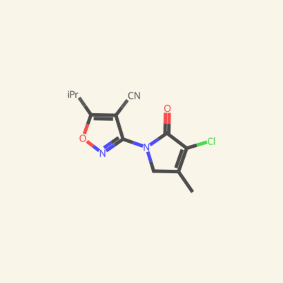 CC1=C(Cl)C(=O)N(c2noc(C(C)C)c2C#N)C1